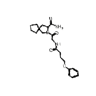 NC(=O)C1CC2(CCCC2)CN1C(=O)CNC(=O)CCCOc1ccccc1